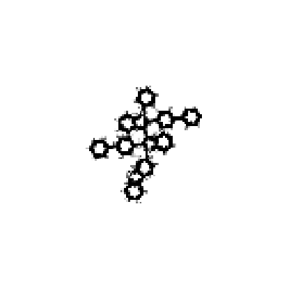 c1ccc(-c2ccc(-c3c(-c4c(-c5ccc(-c6ccccc6)cc5)n(-c5ccc6c(c5)oc5ccccc56)c5ccccc45)c4ccccc4n3-c3ccccc3)cc2)cc1